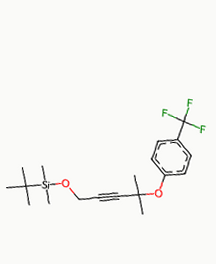 CC(C)(C#CCO[Si](C)(C)C(C)(C)C)Oc1ccc(C(F)(F)F)cc1